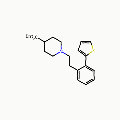 CCOC(=O)C1CCN(CCc2ccccc2-c2cccs2)CC1